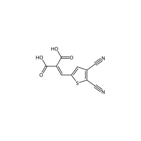 N#Cc1cc(C=C(C(=O)O)C(=O)O)sc1C#N